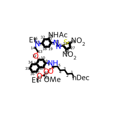 CCCCCCCCCCCCCCCC(=O)Nc1cc(OCCN(CC)c2ccc(N=Nc3sc([N+](=O)[O-])cc3[N+](=O)[O-])c(NC(C)=O)c2)c2ccccc2c1OC(OC)OCC